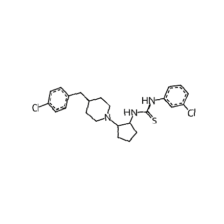 S=C(Nc1cccc(Cl)c1)NC1CCCC1N1CCC(Cc2ccc(Cl)cc2)CC1